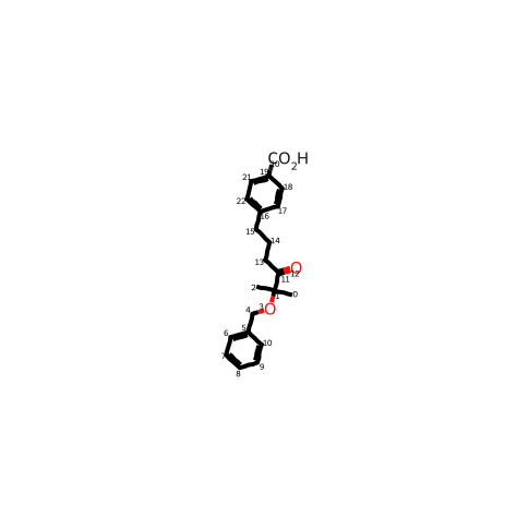 CC(C)(OCc1ccccc1)C(=O)CCCc1ccc(C(=O)O)cc1